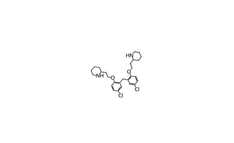 Clc1ccc(OCCC2CCCCN2)c(Cc2cc(Cl)ccc2OCCC2CCCCN2)c1